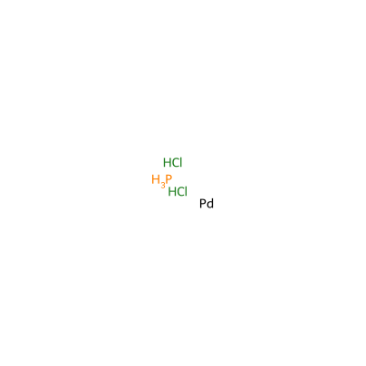 Cl.Cl.P.[Pd]